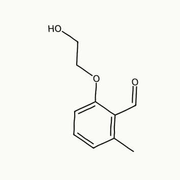 Cc1cccc(OCCO)c1C=O